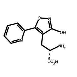 N[C@@H](Cc1c(O)noc1-c1ccccn1)C(=O)O